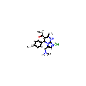 CCN(CC)Cc1cnc2n1C(c1ccc([N+](=O)[O-])cc1)C(C(=O)OC)=C(C)N2.Cl